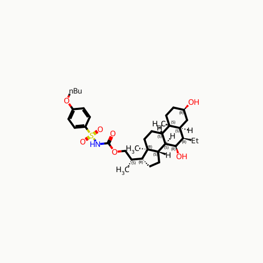 CCCCOc1ccc(S(=O)(=O)NC(=O)OC[C@@H](C)[C@H]2CC[C@H]3[C@@H]4[C@H](O)[C@H](CC)[C@@H]5C[C@H](O)CC[C@]5(C)[C@H]4CC[C@]23C)cc1